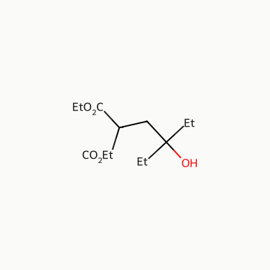 CCOC(=O)[C](CC(O)(CC)CC)C(=O)OCC